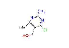 CC(C)(C)c1nc(N)nc(Cl)c1CO